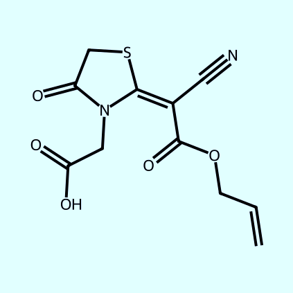 C=CCOC(=O)/C(C#N)=C1/SCC(=O)N1CC(=O)O